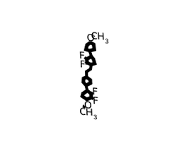 CCOc1ccc(-c2ccc(CCc3ccc(-c4ccc(OC)cc4)c(F)c3F)cc2)c(F)c1F